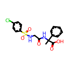 CC(NC(=O)CNS(=O)(=O)c1ccc(Cl)cc1)(C(=O)O)c1ccccc1